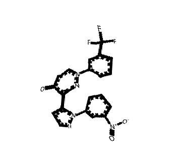 O=c1ccn(-c2cccc(C(F)(F)F)c2)nc1-c1ccnn1-c1cccc([N+](=O)[O-])c1